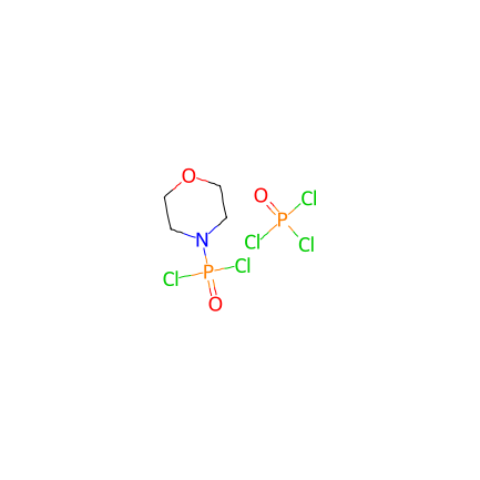 O=P(Cl)(Cl)Cl.O=P(Cl)(Cl)N1CCOCC1